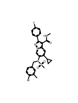 CNC(=O)c1c(-c2ccc(F)cc2)nn2cc(N(Cc3ccc(Br)c(C)c3)S(C)(=O)=O)c(C3CC3)cc12